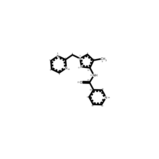 Cc1cn(Cc2ncccn2)nc1NC(=O)c1cccnc1